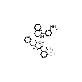 Cc1c(O)cccc1C(=O)N[C@@H](Cc1ccccc1)[C@@H](O)C[C@H](Cc1ccccc1)NC(=O)c1cccc(N)c1